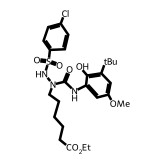 CCOC(=O)CCCCCN(NS(=O)(=O)c1ccc(Cl)cc1)C(=O)Nc1cc(OC)cc(C(C)(C)C)c1O